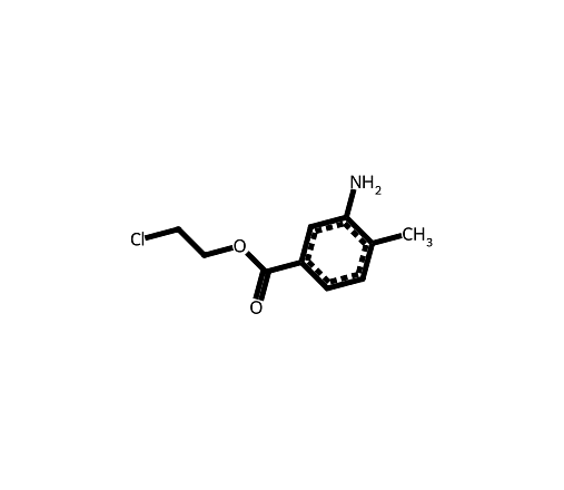 Cc1ccc(C(=O)OCCCl)cc1N